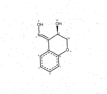 ON=C1c2ccccc2OC[C@@H]1O